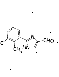 Cc1cccc(-c2nc(C=O)c[nH]2)c1C